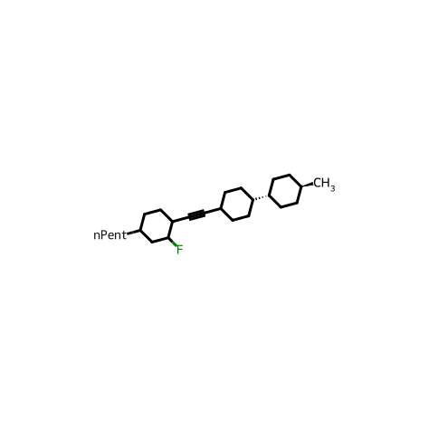 CCCCCC1CCC(C#CC2CCC([C@H]3CC[C@H](C)CC3)CC2)C(F)C1